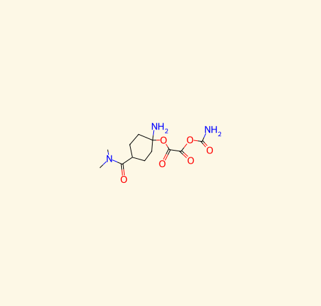 CN(C)C(=O)C1CCC(N)(OC(=O)C(=O)OC(N)=O)CC1